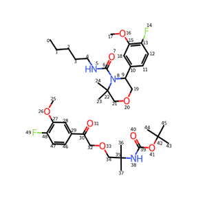 CCCCCNC(=O)N1C(c2ccc(F)c(OC)c2)COCC1(C)C.COc1cc(C(=O)COCC(C)(C)NC(=O)OC(C)(C)C)ccc1F